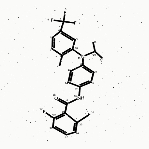 Cc1ccc(C(F)(F)F)cc1N(c1ccc(NC(=O)c2c(F)cccc2F)cc1)C(C)C